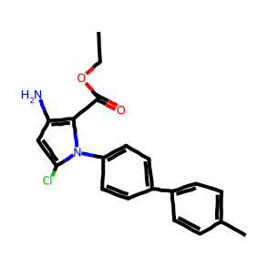 CCOC(=O)c1c(N)cc(Cl)n1-c1ccc(-c2ccc(C)cc2)cc1